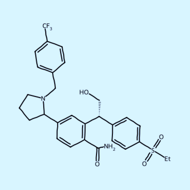 CCS(=O)(=O)c1ccc([C@@H](CO)c2cc(C3CCCN3Cc3ccc(C(F)(F)F)cc3)ccc2C(N)=O)cc1